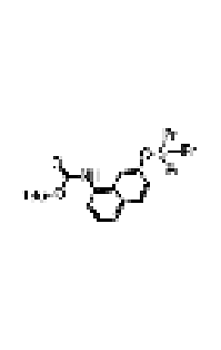 CC(C)[Si](Oc1ccc2cccc(NC(=O)OC(C)(C)C)c2c1)(C(C)C)C(C)C